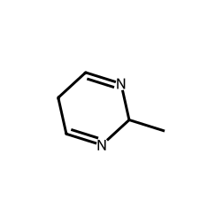 CC1N=CCC=N1